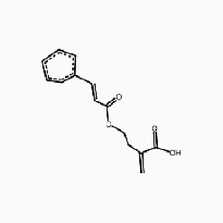 C=C(CCOC(=O)C=Cc1ccccc1)C(=O)O